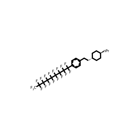 CCC[C@H]1CC[C@H](CCc2ccc(C(F)(F)C(F)(F)C(F)(F)C(F)(F)C(F)(F)C(F)(F)C(F)(F)C(F)(F)C(F)(F)F)cc2)CC1